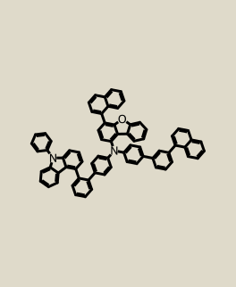 c1ccc(-n2c3ccccc3c3c(-c4ccccc4-c4ccc(N(c5ccc(-c6cccc(-c7cccc8ccccc78)c6)cc5)c5ccc(-c6cccc7ccccc67)c6oc7ccccc7c56)cc4)cccc32)cc1